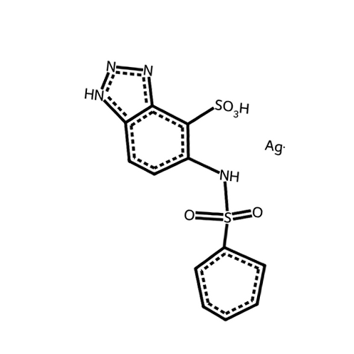 O=S(=O)(O)c1c(NS(=O)(=O)c2ccccc2)ccc2[nH]nnc12.[Ag]